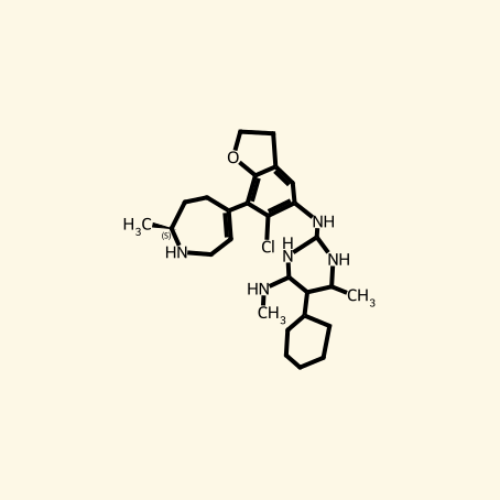 CNC1NC(Nc2cc3c(c(C4=CCN[C@@H](C)CC4)c2Cl)OCC3)NC(C)C1C1CCCCC1